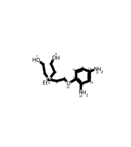 CC[N+](CCO)(CCO)CCOc1ccc(N)cc1N